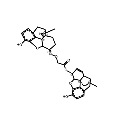 CN1CC[C@]23c4c5ccc(O)c4OC2[C@@H](OC(=O)CO/N=C2\CC[C@@]4(O)C6Cc7ccc(O)c8c7[C@@]4(CCN6C)C2O8)C=CC3C1C5